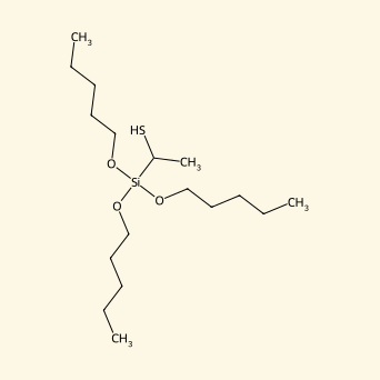 CCCCCO[Si](OCCCCC)(OCCCCC)C(C)S